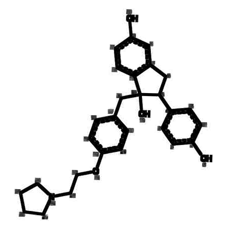 Oc1ccc(C2Cc3cc(O)ccc3C2(O)Cc2ccc(OCCN3CCCC3)cc2)cc1